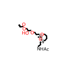 C=CC(=O)OCC(O)COCCC[Si]1(C)OCCCC[Si](C)(CCCNC(C)=O)O1